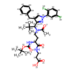 CC(=O)N(CCC(NC(=O)OC(C)(C)C)C(=O)NCCC(=O)O)C(c1nn(-c2cc(F)ccc2F)cc1Cc1ccccc1)C(C)(C)C